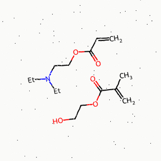 C=C(C)C(=O)OCCO.C=CC(=O)OCCN(CC)CC